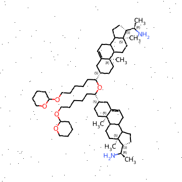 C[C@@H](N)[C@H]1CCC2C3CC=C4C[C@@H](C(CCCCCOC5CCCCO5)OC(CCCCCOC5CCCCO5)[C@H]5CC[C@@]6(C)C(=CCC7C6CC[C@@]6(C)C7CC[C@@H]6[C@@H](C)N)C5)CC[C@]4(C)C3CC[C@@]21C